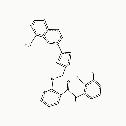 Nc1ncnc2ccc(-c3ccc(CNc4ncccc4C(=O)Nc4cccc(Cl)c4F)s3)cc12